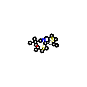 C=C1/C=C(c2cccc3c2sc2c(-c4cccc5ccccc45)cccc23)\C=C/CN(c2ccc(-c3c4ccccc4c(-c4ccccc4)c4ccccc34)cc2)c2ccc(-c3cccc4c3sc3c(-c5cccc6ccccc56)cccc34)cc21